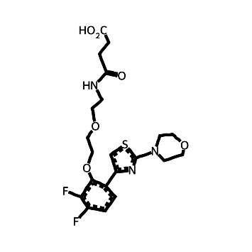 O=C(O)CCC(=O)NCCOCCOc1c(-c2csc(N3CCOCC3)n2)ccc(F)c1F